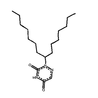 CCCCCCCC(CCCCCCC)n1ncc(=O)[nH]c1=O